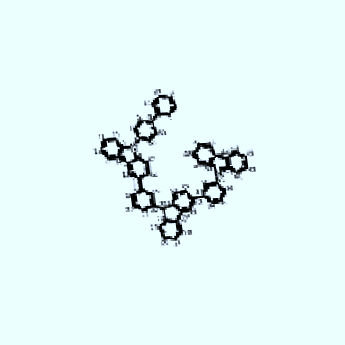 c1ccc(-c2ccc(-n3c4ccccc4c4cc(-c5cccc(C6c7ccccc7-c7cc(-c8cccc(-n9c%10ccccc%10c%10ccccc%109)c8)ccc76)c5)ccc43)cc2)cc1